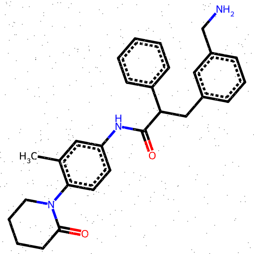 Cc1cc(NC(=O)C(Cc2cccc(CN)c2)c2ccccc2)ccc1N1CCCCC1=O